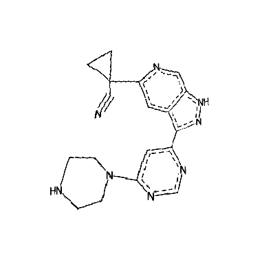 N#CC1(c2cc3c(-c4cc(N5CCNCC5)ncn4)n[nH]c3cn2)CC1